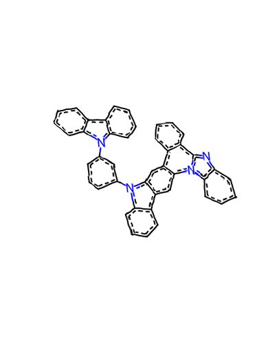 c1cc(-n2c3ccccc3c3ccccc32)cc(-n2c3ccccc3c3cc4c(cc32)c2ccccc2c2nc3ccccc3n42)c1